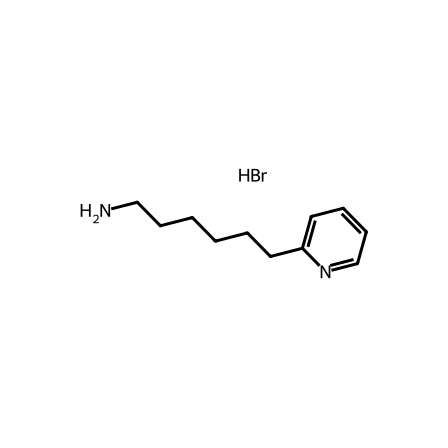 Br.NCCCCCCc1ccccn1